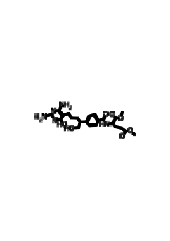 COC(=O)CC[C@@H](NC(=O)c1ccc(C(CO)CCCc2c(N)nc(N)nc2O)cc1)C(=O)OC